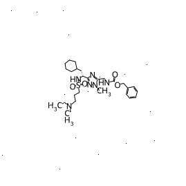 CCN(CC)CCCS(=O)(=O)N[C@H](CC1CCCCC1)c1nc(CNC(=O)OCc2ccccc2)n(C)n1